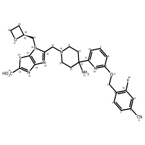 N#Cc1ccc(COc2cccc(C3(N)CCN(Cc4nc5nc(C(=O)O)sc5n4C[C@@H]4CCO4)CC3)n2)c(F)c1